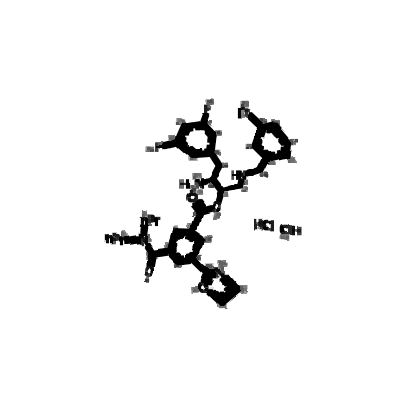 CCCN(CCC)C(=O)c1cc(C(=O)O[C@H](CNCc2cccc(CC)c2)[C@@H](N)Cc2cc(F)cc(F)c2)cc(-c2ncco2)c1.Cl.Cl